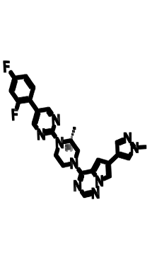 C[C@@H]1CN(c2ncnn3cc(-c4cnn(C)c4)cc23)CCN1c1ncc(-c2ccc(F)cc2F)cn1